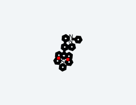 c1ccc(-c2nc3cccc(-c4ccc(-c5c6ccccc6c([Si](c6ccccc6)(c6ccccc6)c6ccccc6)c6ccccc56)cc4)c3n2-c2ccccc2)cc1